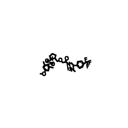 COc1cc(C)c(S(=O)(=O)N2CCCC2COCC(=O)NCC(c2ccc(C(F)(F)F)cc2)N(C)C)c(C)c1